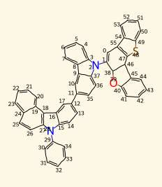 C1=C(n2c3ccccc3c3cc(-c4ccc5c(c4)c4c6ccccc6ccc4n5-c4ccccc4)ccc32)C2Oc3ccccc3C2c2sc3ccccc3c21